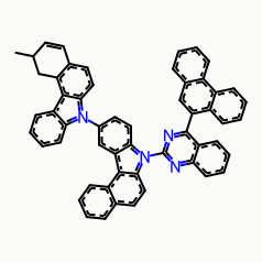 CC1C=Cc2ccc3c(c2C1)c1ccccc1n3-c1ccc2c(c1)c1c3ccccc3ccc1n2-c1nc(-c2cc3ccccc3c3ccccc23)c2ccccc2n1